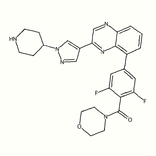 O=C(c1c(F)cc(-c2cccc3ncc(-c4cnn(C5CCNCC5)c4)nc23)cc1F)N1CCOCC1